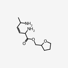 CC(N)/C=C\C(N)C(=O)OCC1CCCO1